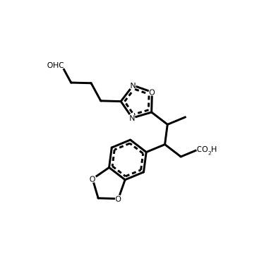 CC(c1nc(CCCC=O)no1)C(CC(=O)O)c1ccc2c(c1)OCO2